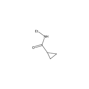 CCNC(=O)[C]1CC1